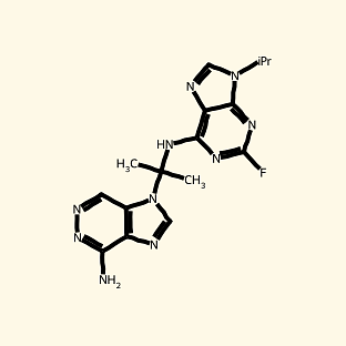 CC(C)n1cnc2c(NC(C)(C)n3cnc4c(N)nncc43)nc(F)nc21